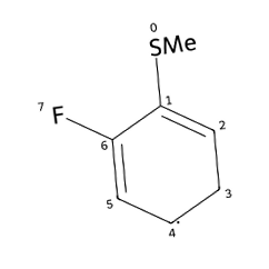 CSC1=CC[CH]C=C1F